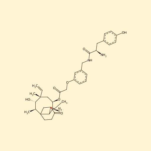 C=C[C@]1(C)C[C@@H](OC(=O)COc2cccc(CNC(=O)[C@H](N)Cc3ccc(O)cc3)c2)[C@]2(C)C(C)CC34CC(CCC3=O)(C42)[C@@H](C)[C@@H]1O